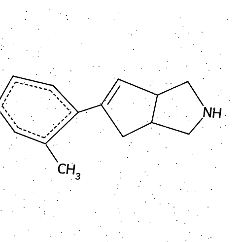 Cc1ccccc1C1=CC2CNCC2C1